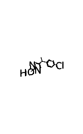 CC(c1ccc(Cl)cc1)c1cnc(O)nc1